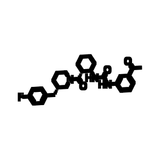 CC(=O)c1cccc(NC(=O)N[C@@H]2CCCC[C@H]2C(=O)N2CCC[C@@H](Cc3ccc(F)cc3)C2)c1